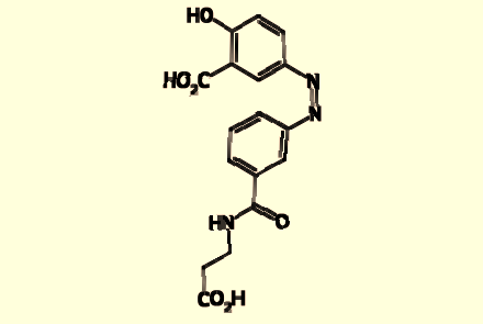 O=C(O)CCNC(=O)c1cccc(/N=N\c2ccc(O)c(C(=O)O)c2)c1